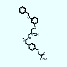 COC(=O)COc1ccc(C[C@@H](C)NC[C@H](O)COc2cccc(OCc3ccccc3)c2)cc1